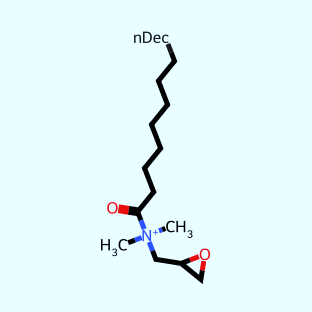 CCCCCCCCCCCCCCCCCC(=O)[N+](C)(C)CC1CO1